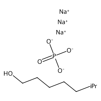 CC(C)CCCCCO.O=P([O-])([O-])[O-].[Na+].[Na+].[Na+]